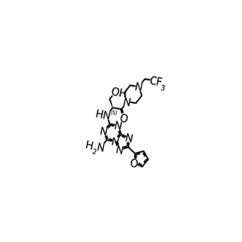 Nc1nc(N[C@@H](CO)C(=O)N2CCN(CC(F)(F)F)CC2)nc2nc(-c3ccco3)nn12